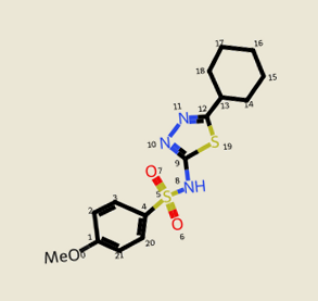 COc1ccc(S(=O)(=O)Nc2nnc(C3CCCCC3)s2)cc1